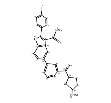 CNC(=O)c1c(-c2ccc(F)cc2)oc2ccc(-c3cccc(C(=O)C4CC[C@H](NC(C)=O)C4)c3)cc12